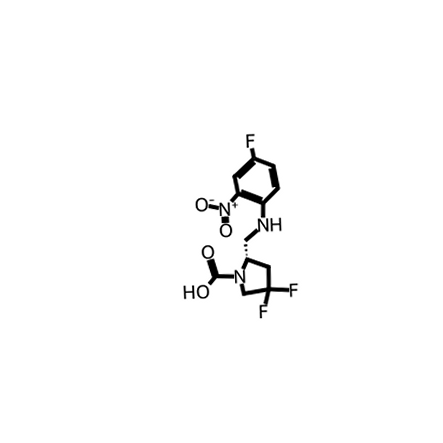 O=C(O)N1CC(F)(F)C[C@H]1CNc1ccc(F)cc1[N+](=O)[O-]